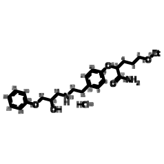 CCOCCCC(Oc1ccc(CCNCC(O)COc2ccccc2)cc1)C(N)=O.Cl